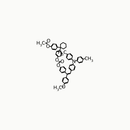 COc1ccc(C(=Cc2ccc(N(c3ccc(C)cc3)c3ccc(C)cc3)cc2)c2ccc(OC(=O)Oc3ccc(C4(c5ccc(OC(C)=O)cc5)CCCCC4)cc3)cc2)cc1